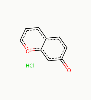 Cl.O=c1ccc2cccoc-2c1